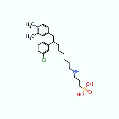 Cc1ccc(CC(CCCCCCNCCCP(=O)(O)O)c2cccc(Cl)c2)cc1C